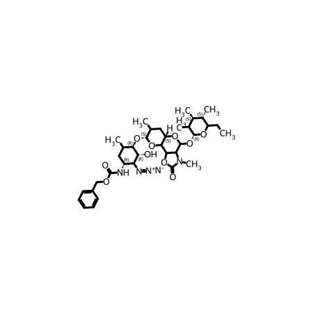 CCC1O[C@H](OC2O[C@H]3CC(C)[C@@H](O[C@@H]4C(C)C[C@@H](NC(=O)OCc5ccccc5)C(N=[N+]=[N-])[C@H]4O)OC3C3OC(=O)N(C)C23)C(C)[C@@H](C)[C@@H]1C